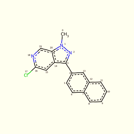 Cn1nc(-c2ccc3ccccc3c2)c2cc(Cl)ncc21